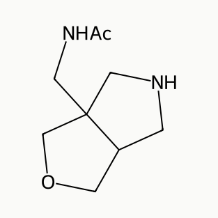 CC(=O)NCC12CNCC1COC2